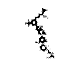 CSc1cc(-n2cc3cc(-c4cc(CCC[C@@H](N)C5CC5)cc(C(F)(F)F)c4)[nH]c3nc2=O)cc(F)c1[C@@H]1CCC[C@@H](CCNC(C)=N)N1